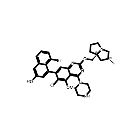 CCc1cccc2cc(O)cc(-c3cc4nc(OC[C@@]56CCCN5C[C@H](F)C6)nc(N5CCNCC5)c4c(OC)c3Cl)c12